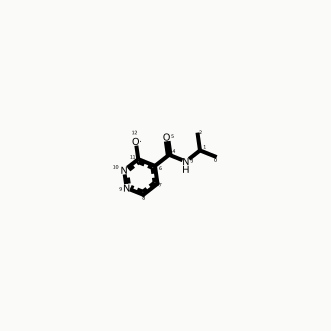 CC(C)NC(=O)c1ccnnc1[O]